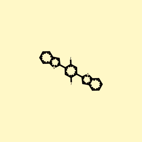 Ic1cc(-c2cc3ccccc3s2)c(I)cc1-c1cc2ccccc2s1